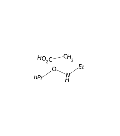 CC(=O)O.CCCONCC